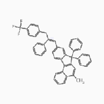 Cc1cc2c(c3ccccc13)-c1ccc(/C=C(/Cc3ccc(C(F)(F)F)cc3)c3ccccc3)cc1C2(c1ccccc1)c1ccccc1